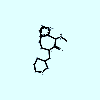 CNC1C(=O)N(CC2CCCSC2)CCc2ccoc21